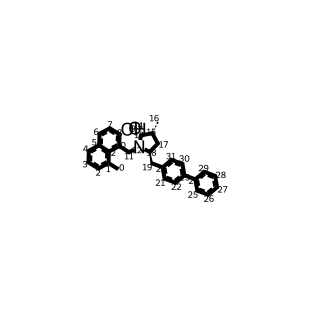 Cc1cccc2ccc(O)c(CN3C(=O)[C@H](C)C[C@H]3Cc3ccc(-c4ccccc4)cc3)c12